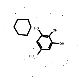 C1CCCCC1.O=C(O)c1cc(O)c(O)c(O)c1